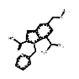 COCc1cc(C(C)C)c2c(c1)cc(C(=O)O)n2Cc1ccccn1